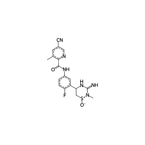 Cc1cc(C#N)cnc1C(=O)Nc1ccc(F)c(C2C[S+]([O-])N(C)C(=N)N2)c1